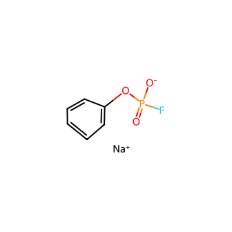 O=P([O-])(F)Oc1ccccc1.[Na+]